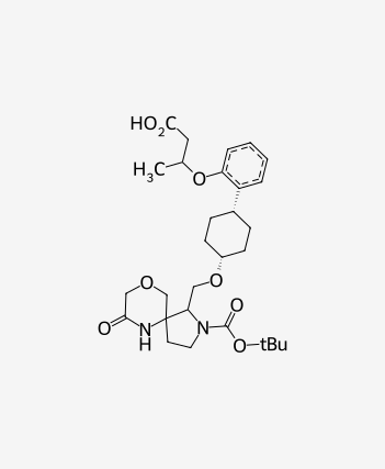 CC(CC(=O)O)Oc1ccccc1[C@H]1CC[C@@H](OCC2N(C(=O)OC(C)(C)C)CCC23COCC(=O)N3)CC1